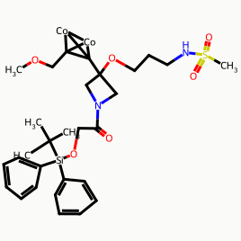 COC[C]12[Co]3[Co]1[C]32C1(OCCCNS(C)(=O)=O)CN(C(=O)CO[Si](c2ccccc2)(c2ccccc2)C(C)(C)C)C1